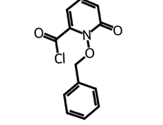 O=C(Cl)c1cccc(=O)n1OCc1ccccc1